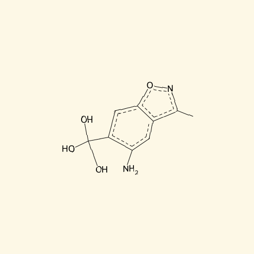 Cc1noc2cc(C(O)(O)O)c(N)cc12